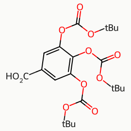 CC(C)(C)OC(=O)Oc1cc(C(=O)O)cc(OC(=O)OC(C)(C)C)c1OC(=O)OC(C)(C)C